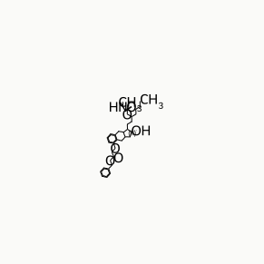 CCCCCC(CCC1C2Cc3cccc(OCC(=O)OCc4ccccc4)c3CC2C[C@H]1O)OC(=O)NC